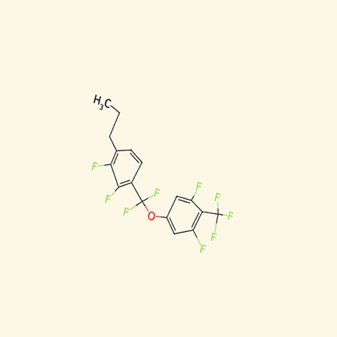 CCCc1ccc(C(F)(F)Oc2cc(F)c(C(F)(F)F)c(F)c2)c(F)c1F